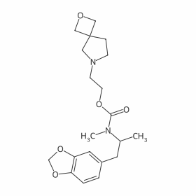 CC(Cc1ccc2c(c1)OCO2)N(C)C(=O)OCCN1CCC2(COC2)C1